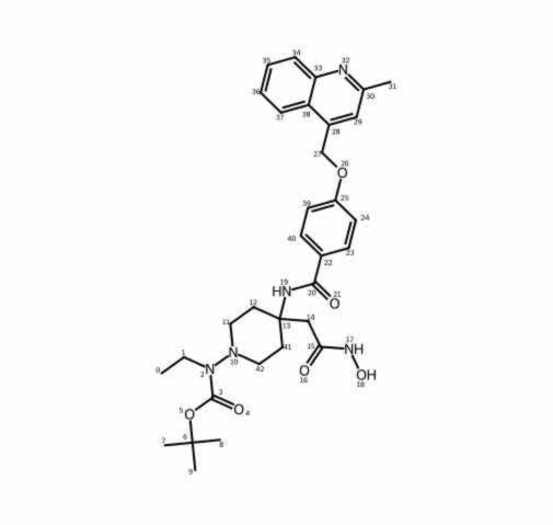 CCN(C(=O)OC(C)(C)C)N1CCC(CC(=O)NO)(NC(=O)c2ccc(OCc3cc(C)nc4ccccc34)cc2)CC1